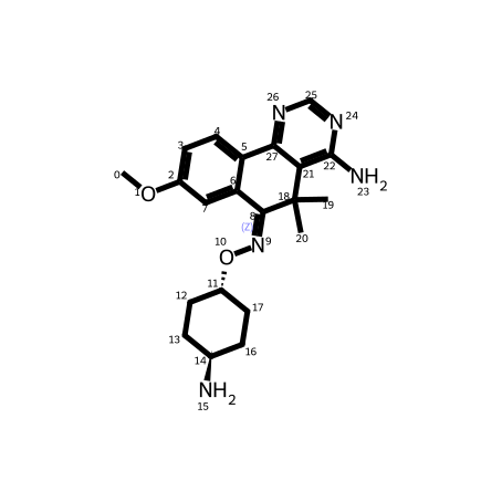 COc1ccc2c(c1)/C(=N\O[C@H]1CC[C@H](N)CC1)C(C)(C)c1c(N)ncnc1-2